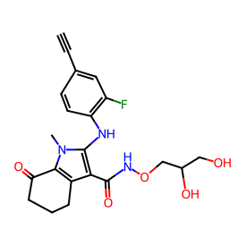 C#Cc1ccc(Nc2c(C(=O)NOCC(O)CO)c3c(n2C)C(=O)CCC3)c(F)c1